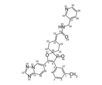 Cc1cccc(C2=C(c3ccc4ncnn4c3)OC3(CCC(=CC(=O)NCc4cccnc4)CC3)C2=O)c1